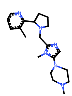 Cc1cccnc1C1CCCN1Cc1ncc(N2CCN(C)CC2)n1C